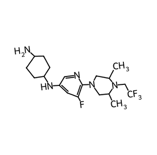 CC1CN(c2ncc(NC3CCC(N)CC3)cc2F)CC(C)N1CC(F)(F)F